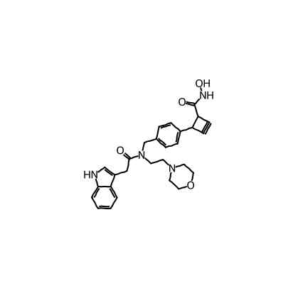 O=C(NO)C1C#CC1c1ccc(CN(CCN2CCOCC2)C(=O)Cc2c[nH]c3ccccc23)cc1